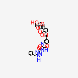 CN1C(=O)C(NC(=O)c2n[nH]c(Cc3ccccc3)n2)COc2ccc(C#Cc3cccc(C4CO[C@H]5C(O)CO[C@H]45)c3C(=O)O)cc21